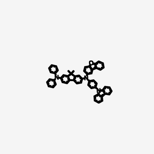 CC1(C)c2cc(N(c3ccccc3)c3ccccc3)ccc2-c2ccc(N(c3ccc(-n4c5ccccc5c5ccccc54)cc3)c3ccc4oc5ccccc5c4c3)cc21